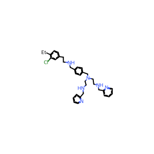 CCc1ccc(CCNCc2ccc(CN(CCNCc3ccccn3)CCNCc3ccccn3)cc2)cc1Cl